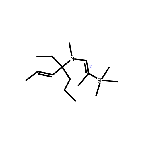 CC=CC(CC)(CCC)N(C)/C=C(\C)[Si](C)(C)C